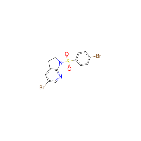 O=S(=O)(c1ccc(Br)cc1)N1CCc2cc(Br)cnc21